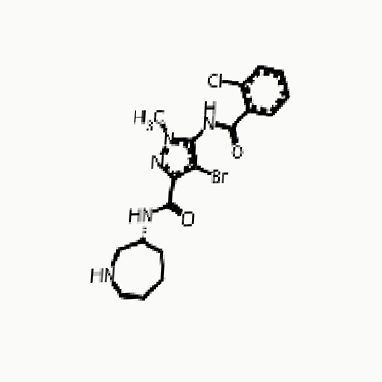 Cn1nc(C(=O)N[C@@H]2CCCCNC2)c(Br)c1NC(=O)c1ccccc1Cl